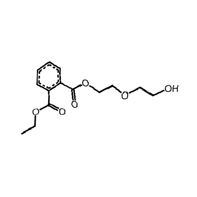 CCOC(=O)c1ccccc1C(=O)OCCOCCO